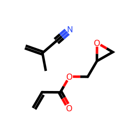 C=C(C)C#N.C=CC(=O)OCC1CO1